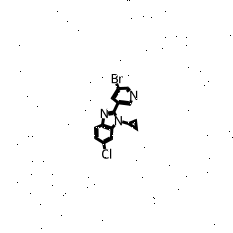 Clc1ccc2nc(-c3cncc(Br)c3)n(C3CC3)c2c1